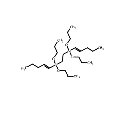 CCCC=C[Si](CC[Si](C=CCCC)(OCCC)OCCC)(OCCC)OCCC